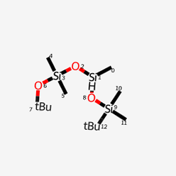 C[SiH](O[Si](C)(C)OC(C)(C)C)O[Si](C)(C)C(C)(C)C